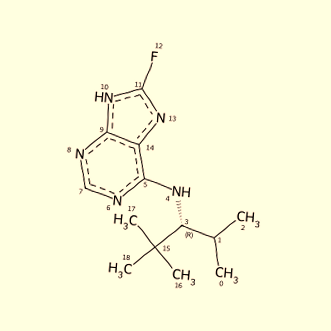 CC(C)[C@@H](Nc1ncnc2[nH]c(F)nc12)C(C)(C)C